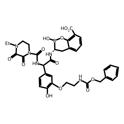 CCN1CCN(C(=O)NC(C(=O)N[C@H]2Cc3cccc(C(=O)O)c3OB2O)c2ccc(O)c(OCCNC(=O)OCc3ccccc3)c2)C(=O)C1=O